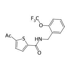 CC(=O)c1ccc(C(=O)NCc2ccccc2OC(F)(F)F)s1